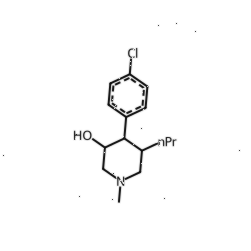 CCCC1CN(C)CC(O)C1c1ccc(Cl)cc1